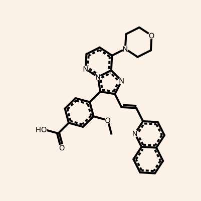 COc1cc(C(=O)O)ccc1-c1c(C=Cc2ccc3ccccc3n2)nc2c(N3CCOCC3)ccnn12